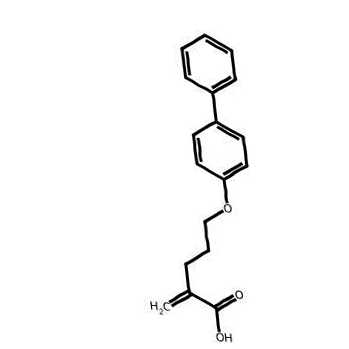 C=C(CCCOc1ccc(-c2ccccc2)cc1)C(=O)O